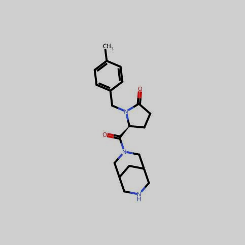 Cc1ccc(CN2C(=O)CC[C@H]2C(=O)N2CC3CNCC(C3)C2)cc1